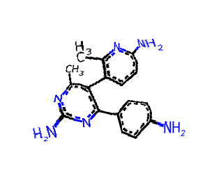 Cc1nc(N)ccc1-c1c(C)nc(N)nc1-c1ccc(N)cc1